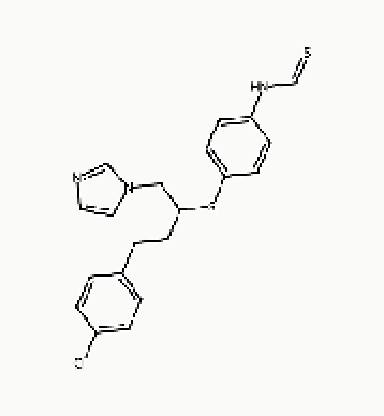 S=CNc1ccc(SC(CCc2ccc(Cl)cc2)Cn2ccnc2)cc1